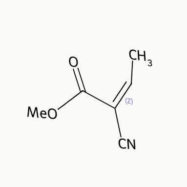 C/C=C(/C#N)C(=O)OC